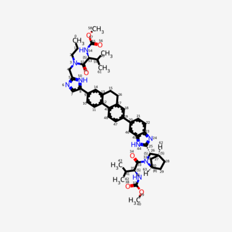 CCCN(Cc1ncc(-c2ccc3c(c2)CCc2cc(-c4ccc5nc([C@@H]6[C@H]7CC[C@H](C7)N6C(=O)[C@@H](NC(=O)OC)C(C)C)[nH]c5c4)ccc2-3)[nH]1)C(=O)[C@@H](NC(=O)OC)C(C)C